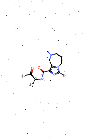 CCC(=O)[C@@H](NC(=O)c1nc(CC)n2c1CN(C)CCC2)C(C)(C)C